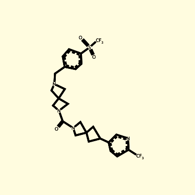 O=C(N1CC2(CC(c3ccc(C(F)(F)F)nc3)C2)C1)N1CC2(CN(Cc3ccc(S(=O)(=O)C(F)(F)F)cc3)C2)C1